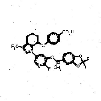 C[C@H](Oc1cc(-n2nc(C(F)(F)F)c3c2C(Oc2ccc(C(=O)O)cc2)CCC3)cnc1F)c1ccc2c(c1)OC(F)(F)O2